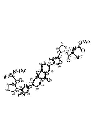 COC(=O)N[C@H](C(=O)N1CCCC1c1ncc(-c2ccc3oc4cc(-c5c[nH]c(C6CCCN6C(=O)[C@@H](NC(C)=O)C(C)C)n5)ccc4c(=O)c3c2)[nH]1)C(C)C